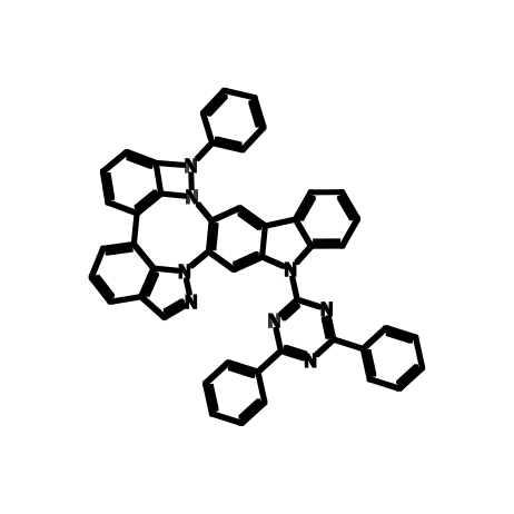 c1ccc(-c2nc(-c3ccccc3)nc(-n3c4ccccc4c4cc5c(cc43)n3ncc4cccc(c6cccc7c6n5n7-c5ccccc5)c43)n2)cc1